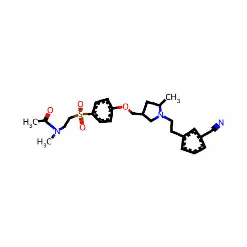 CC(=O)N(C)CCS(=O)(=O)c1ccc(OCC2CC(C)N(CCc3cccc(C#N)c3)C2)cc1